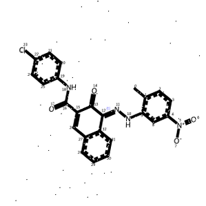 Cc1ccc([N+](=O)[O-])cc1N/N=C1/C(=O)C(C(=O)Nc2ccc(Cl)cc2)=Cc2ccccc21